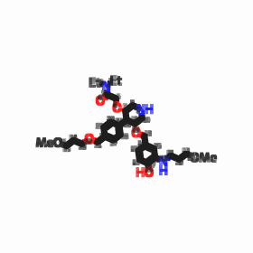 CCN(CC)C(=O)CO[C@@H]1CNC[C@H](OCc2ccc(O)c(NCCCOC)c2)C1c1ccc(COCCCOC)cc1